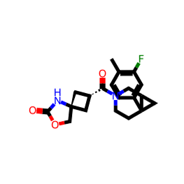 Cc1ccc(C23CCN(C(=O)[C@H]4C[C@]5(COC(=O)N5)C4)CC2C3)cc1F